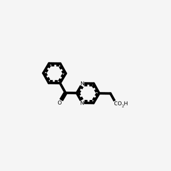 O=C(O)Cc1cnc(C(=O)c2ccccc2)nc1